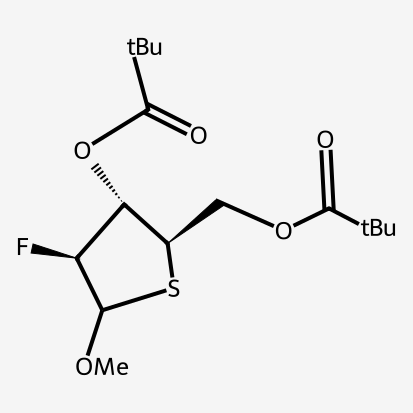 COC1S[C@H](COC(=O)C(C)(C)C)[C@@H](OC(=O)C(C)(C)C)[C@@H]1F